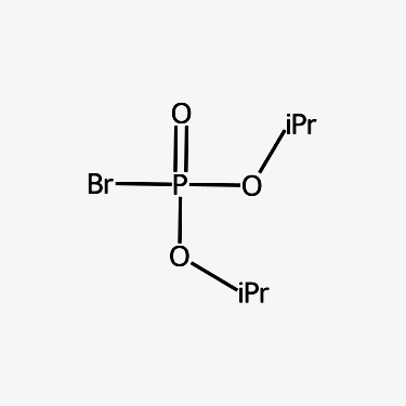 CC(C)OP(=O)(Br)OC(C)C